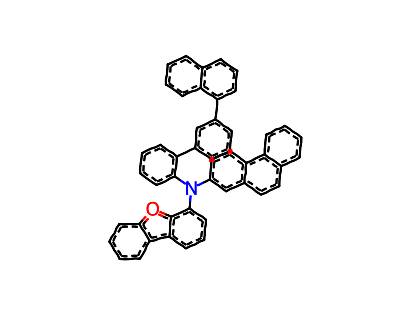 c1cc(-c2ccccc2N(c2ccc3c(ccc4ccccc43)c2)c2cccc3c2oc2ccccc23)cc(-c2cccc3ccccc23)c1